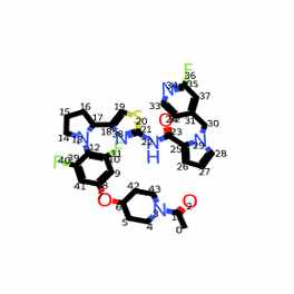 CC(=O)N1CCC(Oc2cc(F)c(N3CCCC3c3csc(NC(=O)c4cccn4Cc4ccnc(F)c4)n3)c(F)c2)CC1